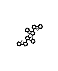 C1=C(c2cccc3c2oc2ccccc23)C2c3ccccc3N3c4ccc(-c5cccc6c5oc5ccccc56)c5c6ccccc6n(c45)C(=C1)C23